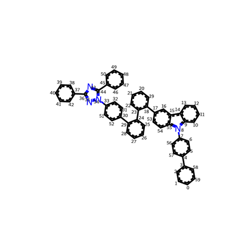 c1ccc(-c2ccc(-n3c4ccccc4c4cc(-c5ccccc5-c5ccccc5-c5ccc(-n6nc(-c7ccccc7)nc6-c6ccccc6)cc5)ccc43)cc2)cc1